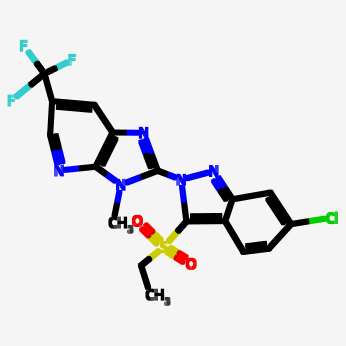 CCS(=O)(=O)c1c2ccc(Cl)cc2nn1-c1nc2cc(C(F)(F)F)cnc2n1C